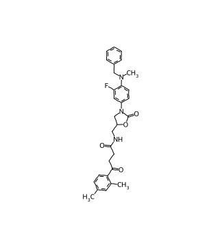 Cc1ccc(C(=O)CCC(=O)NCC2CN(c3ccc(N(C)Cc4ccccc4)c(F)c3)C(=O)O2)c(C)c1